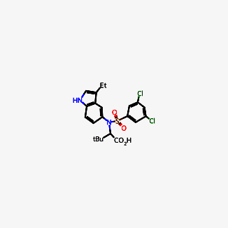 CCc1c[nH]c2ccc(N(C(C(=O)O)C(C)(C)C)S(=O)(=O)c3cc(Cl)cc(Cl)c3)cc12